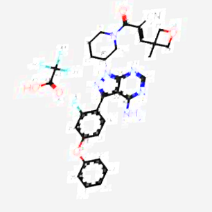 CC1(C=C(C#N)C(=O)N2CCC[C@@H](n3nc(-c4ccc(Oc5ccccc5)cc4F)c4c(N)ncnc43)C2)COC1.O=C(O)C(F)(F)F